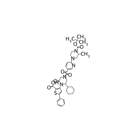 CC1CN(c2ccc(S(=O)(=O)N3CC(=O)N(c4cc(-c5ccccc5)sc4C(=O)O)C(C4CCCCC4)C3)cn2)CCN1C(=O)OC(C)(C)C